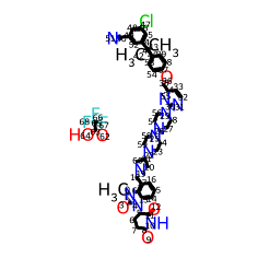 Cn1c(=O)n(C2CCC(=O)NC2=O)c2cccc(CN3CC(N4CCN(N5CCN(c6nccc(COc7ccc(C(C)(C)c8cc(Cl)cc(C#N)c8)cc7)n6)CC5)CC4)C3)c21.O=C(O)C(F)(F)F